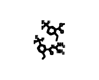 CCc1ccc(C(F)(F)F)cc1C(=O)N=C(N)N.CCc1ccc(C(F)(F)F)cc1C(=O)OC